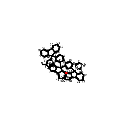 Cc1ccnc(C2(c3cccc(C4(c5cccc(C6(n7ccnc7)c7ccccc7-c7ccccc76)c5)c5ccccc5-c5ccccc54)c3)c3ccccc3-c3ccccc32)c1